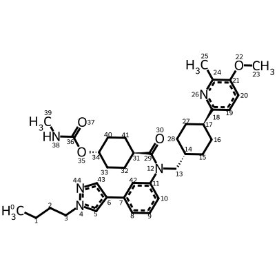 CCCCn1cc(-c2cccc(N(C[C@H]3CC[C@H](c4ccc(OC)c(C)n4)CC3)C(=O)[C@H]3CC[C@H](OC(=O)NC)CC3)c2)cn1